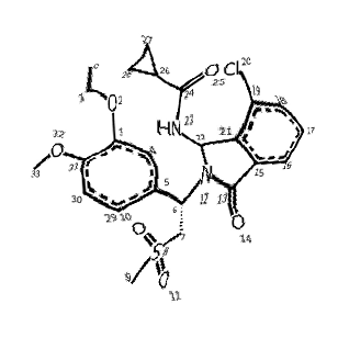 CCOc1cc([C@@H](CS(C)(=O)=O)N2C(=O)c3cccc(Cl)c3C2NC(=O)C2CC2)ccc1OC